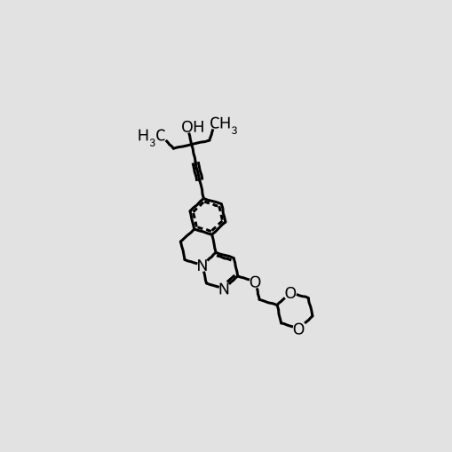 CCC(O)(C#Cc1ccc2c(c1)CCN1CN=C(OCC3COCCO3)C=C21)CC